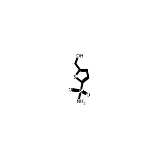 NS(=O)(=O)c1ccc(CO)s1